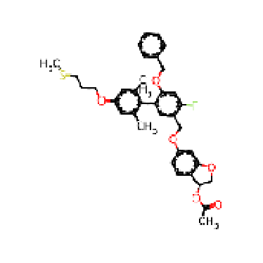 CSCCCOc1cc(C)c(-c2cc(COc3ccc4c(c3)OC[C@H]4OC(C)=O)c(F)cc2OCc2ccccc2)c(C)c1